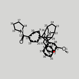 COc1cccc(C(c2ccc(C(=O)N3CCCC3)cc2)N2C3CCC2C2CCC3N2Cc2ccccc2)c1